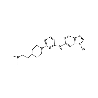 CC(C)n1cnc2cnc(Nc3ccnc(N4CCC(CCN(C)C)CC4)n3)cc21